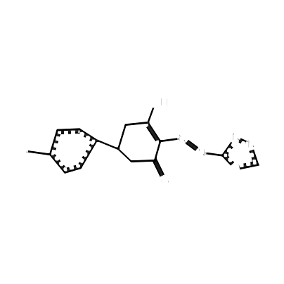 O=C1CC(c2ccc(I)cc2)CC(O)=C1N=Nc1nncs1